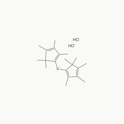 CC1=C(C)C(C)(C)[C]([V][C]2=C(C)C(C)=C(C)C2(C)C)=C1C.Cl.Cl